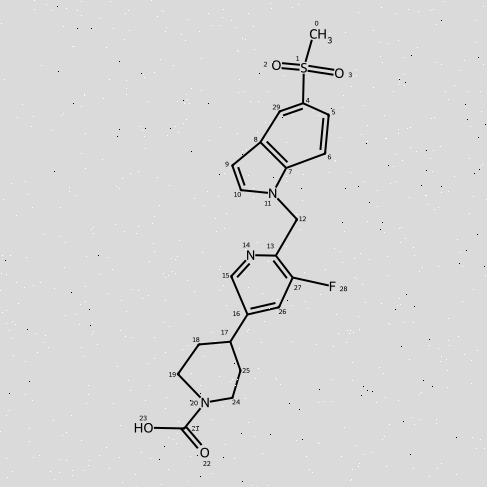 CS(=O)(=O)c1ccc2c(ccn2Cc2ncc(C3CCN(C(=O)O)CC3)cc2F)c1